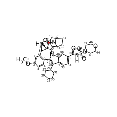 COc1ccc2c(c1)C1CC1(C(=O)N1C3CCC1CN(C)C3)Cn1c-2c(C2CCCCC2)c2ccc(C(=O)NS(=O)(=O)N3CCOCC3)cc21